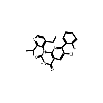 CCc1ccnc(C(C)C)c1-n1c(=O)[nH]c(=O)c2cc(Cl)c(-c3ccccc3F)nc21